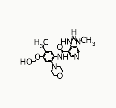 CCc1cc(NC(=O)c2cncc3c2NNN3C)c(N2CCOCC2)cc1OCO